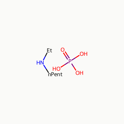 CCCCCNCC.O=P(O)(O)O